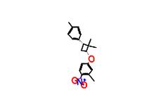 Cc1ccc([C@H]2C[C@@H](Oc3ccc([N+](=O)[O-])c(C)c3)C2(C)C)cc1